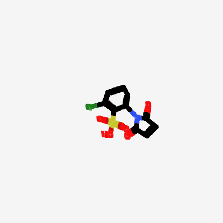 O=C1C=CC(=O)N1c1cccc(Cl)c1S(=O)(=O)O